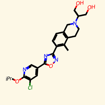 Cc1c(-c2noc(-c3cnc(OC(C)C)c(Cl)c3)n2)ccc2c1CCN(C(CO)CO)C2